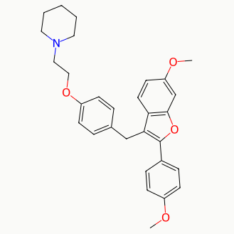 COc1ccc(-c2oc3cc(OC)ccc3c2Cc2ccc(OCCN3CCCCC3)cc2)cc1